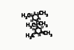 Cc1cc(C)cc(C(C)(C)c2cc(C)cc(C)c2)c1